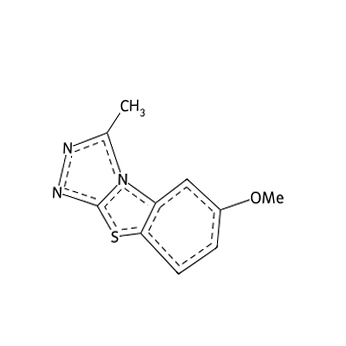 COc1ccc2sc3nnc(C)n3c2c1